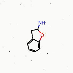 [NH]C1Cc2ccccc2O1